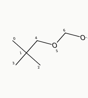 CC(C)(C)COC[O]